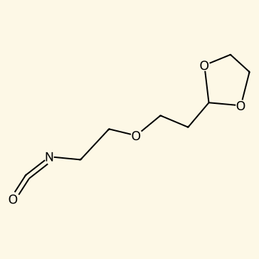 O=C=NCCOCCC1OCCO1